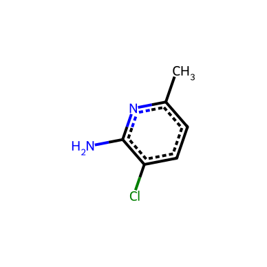 Cc1ccc(Cl)c(N)n1